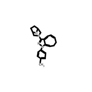 Cc1ccc(-n2nc(N3CC4CCC(C3)O4)c3/c2=C\CC/C=C\C=3)cc1